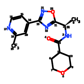 C[C@H](NC(=O)C1CCOCC1)c1nc(-c2ccnc(C(F)(F)F)c2)no1